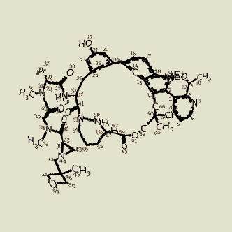 CCn1c(-c2cccnc2[C@H](C)OC)c2c3cc(ccc31)-c1cc(O)cc(c1)C[C@H](NC(=O)[C@H](C(C)C)N(C)C(=O)CN(C)C(=O)[C@H]1CN1CC1(C)COC1)C(=O)N1CCC[C@H](N1)C(=O)OCC(C)(C)C2